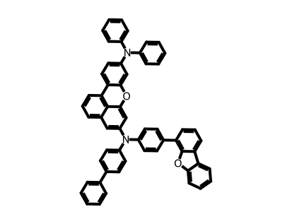 c1ccc(-c2ccc(N(c3ccc(-c4cccc5c4oc4ccccc45)cc3)c3cc4c5c(cccc5c3)-c3ccc(N(c5ccccc5)c5ccccc5)cc3O4)cc2)cc1